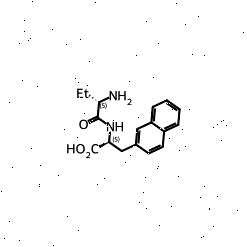 CC[C@H](N)C(=O)N[C@@H](Cc1ccc2ccccc2c1)C(=O)O